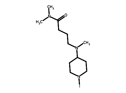 CN(C)C(=O)CCCN(C)C1CCN(I)CC1